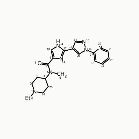 CCN1CCC(N(C)C(=O)c2c[nH]c(-c3cnn(-c4ccccn4)c3)n2)CC1